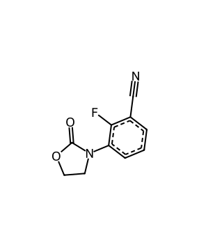 N#Cc1cccc(N2CCOC2=O)c1F